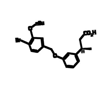 CCCCOc1cc(COc2cccc([C@H](C)CC(=O)O)c2)ccc1Br